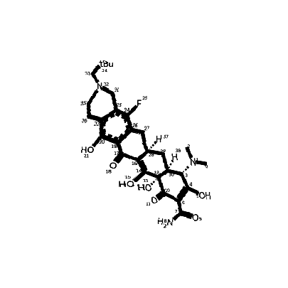 CN(C)[C@@H]1C(O)=C(C(N)=O)C(=O)[C@@]2(O)C(O)=C3C(=O)c4c(O)c5c(c(F)c4C[C@H]3C[C@@H]12)CN(CC(C)(C)C)CC5